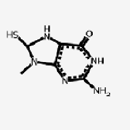 CN1c2nc(N)[nH]c(=O)c2NC1S